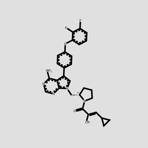 N#CC(=CC1CC1)C(=O)N1CCC[C@H]1Cn1cc(-c2ccc(Oc3cccc(F)c3F)cc2)c2c(N)ncnc21